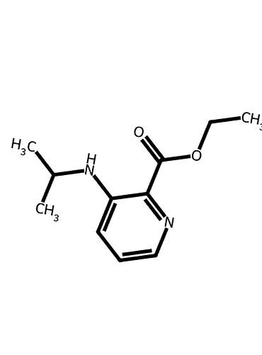 CCOC(=O)c1ncccc1NC(C)C